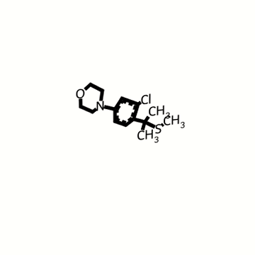 CSC(C)(C)c1ccc(N2CCOCC2)cc1Cl